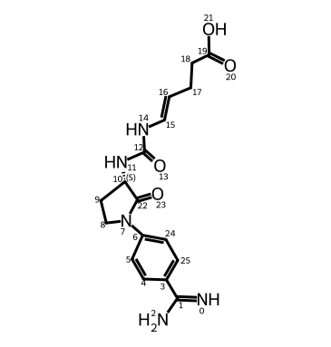 N=C(N)c1ccc(N2CC[C@H](NC(=O)NC=CCCC(=O)O)C2=O)cc1